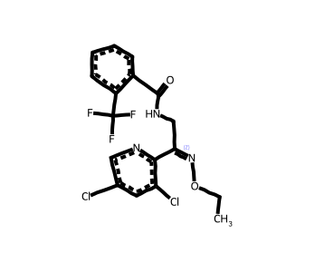 CCO/N=C(/CNC(=O)c1ccccc1C(F)(F)F)c1ncc(Cl)cc1Cl